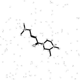 CC1CN(C(=O)/C=C/CN(C)C)CCN1C